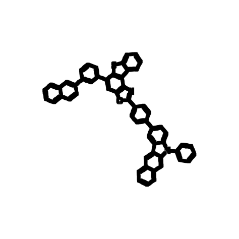 c1ccc(-n2c3ccc(-c4ccc(-c5nc6c(cc(-c7cccc(-c8ccc9ccccc9c8)c7)c7sc8ccccc8c76)o5)cc4)cc3c3cc4ccccc4cc32)cc1